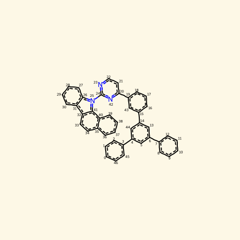 c1ccc(-c2cc(-c3ccccc3)cc(-c3cccc(-c4ccnc(-n5c6ccccc6c6ccc7ccccc7c65)n4)c3)c2)cc1